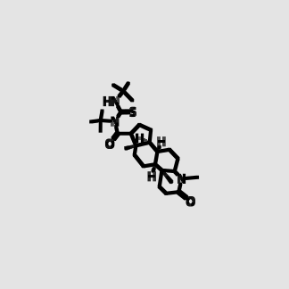 CN1C(=O)CC[C@@]2(C)C1CC[C@@H]1[C@H]2CC[C@]2(C)C(C(=O)N(C(=S)NC(C)(C)C)C(C)(C)C)CC[C@@H]12